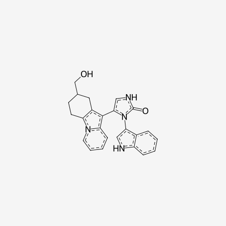 O=c1[nH]cc(-c2c3c(n4ccccc24)CCC(CO)C3)n1-c1c[nH]c2ccccc12